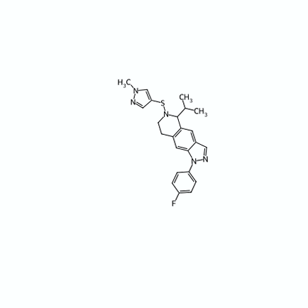 CC(C)C1c2cc3cnn(-c4ccc(F)cc4)c3cc2CCN1Sc1cnn(C)c1